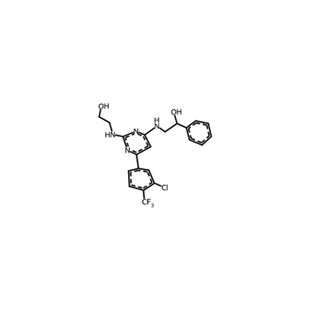 OCCNc1nc(NCC(O)c2ccccc2)cc(-c2ccc(C(F)(F)F)c(Cl)c2)n1